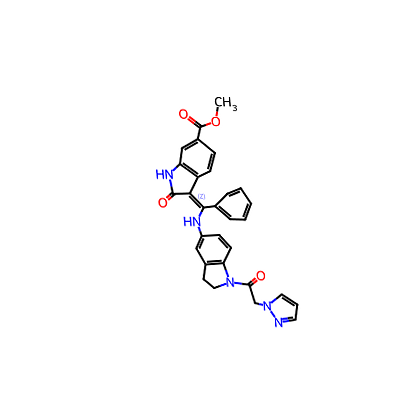 COC(=O)c1ccc2c(c1)NC(=O)/C2=C(\Nc1ccc2c(c1)CCN2C(=O)Cn1cccn1)c1ccccc1